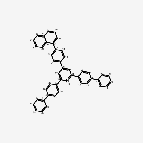 c1ccc(-c2ccc(-c3cc(-c4ccc(-c5cccc6ccccc56)cc4)cc(-c4ccc(-c5ccccc5)cc4)n3)cc2)cc1